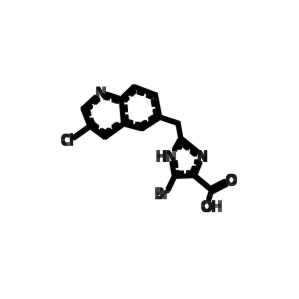 O=C(O)c1nc(Cc2ccc3ncc(Cl)cc3c2)[nH]c1Br